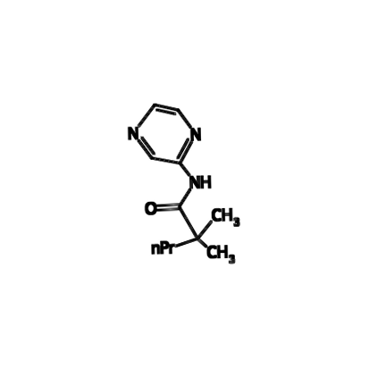 CCCC(C)(C)C(=O)Nc1cnccn1